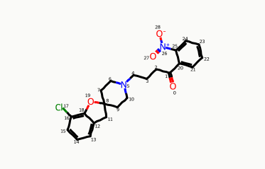 O=C(CCCN1CCC2(CC1)Cc1cccc(Cl)c1O2)c1ccccc1[N+](=O)[O-]